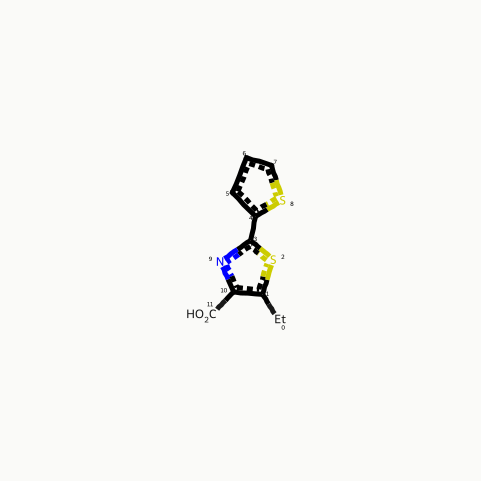 CCc1sc(-c2cccs2)nc1C(=O)O